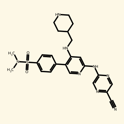 CN(C)S(=O)(=O)c1ccc(-c2cnc(Nc3cnc(C#N)cn3)cc2NCC2CCNCC2)cc1